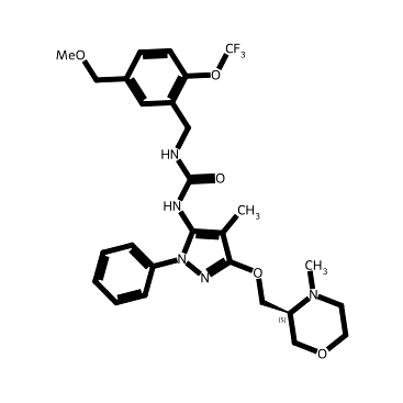 COCc1ccc(OC(F)(F)F)c(CNC(=O)Nc2c(C)c(OC[C@@H]3COCCN3C)nn2-c2ccccc2)c1